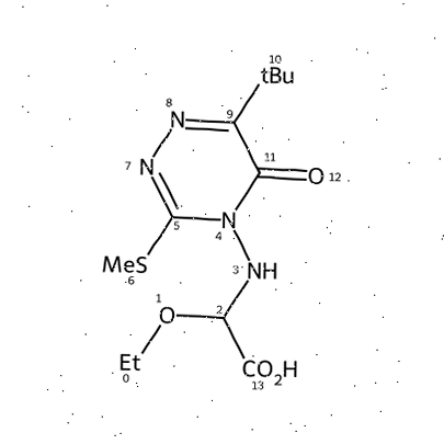 CCOC(Nn1c(SC)nnc(C(C)(C)C)c1=O)C(=O)O